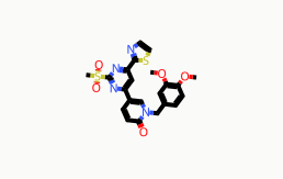 COc1ccc(Cn2cc(-c3cc(-c4nccs4)nc(S(C)(=O)=O)n3)ccc2=O)cc1OC